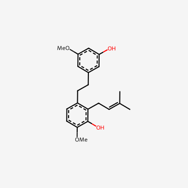 COc1cc(O)cc(CCc2ccc(OC)c(O)c2CC=C(C)C)c1